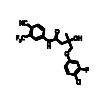 CC(O)(COc1ccc(Cl)c(F)c1)CC(=O)Nc1ccc(C#N)c(C(F)(F)F)c1